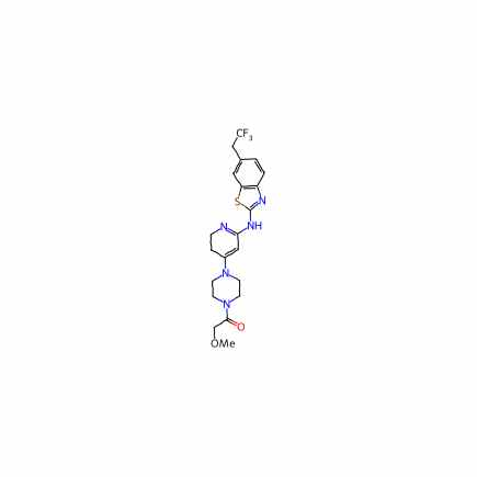 COCC(=O)N1CCN(C2=CC(Nc3nc4ccc(CC(F)(F)F)cc4s3)=NCC2)CC1